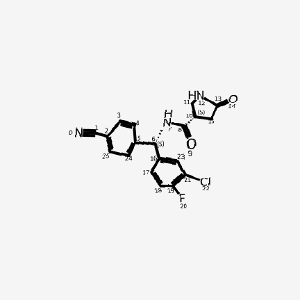 N#Cc1ccc([C@H](NC(=O)[C@@H]2CNC(=O)C2)c2ccc(F)c(Cl)c2)cc1